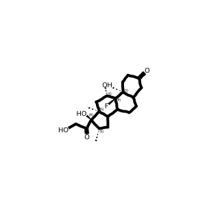 C[C@H]1CC2C3CCC4CC(=O)CC[C@]4(C)[C@@]3(F)[C@@H](O)C[C@]2(C)[C@@]1(O)C(=O)CO